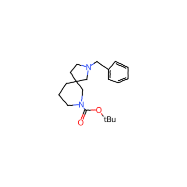 CC(C)(C)OC(=O)N1CCCC2(CCN(Cc3ccccc3)C2)C1